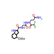 COc1cccc2[nH]c(C(=O)NCC(=O)NN(CCC(N)=O)C(=O)C(F)F)cc12